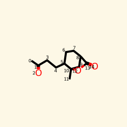 CC(=O)CCC1CCC2CC1(C)OC2=O